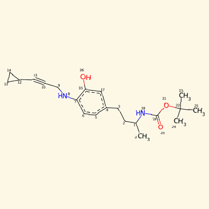 CC(CCc1ccc(NCC#CC2CC2)c(O)c1)NC(=O)OC(C)(C)C